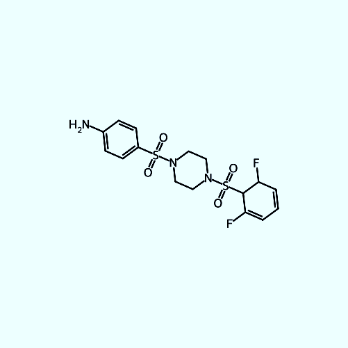 Nc1ccc(S(=O)(=O)N2CCN(S(=O)(=O)C3C(F)=CC=CC3F)CC2)cc1